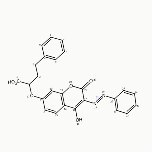 O=C(O)C(CCc1ccccc1)Oc1ccc2c(O)c(/N=N/c3ccccc3)c(=O)oc2c1